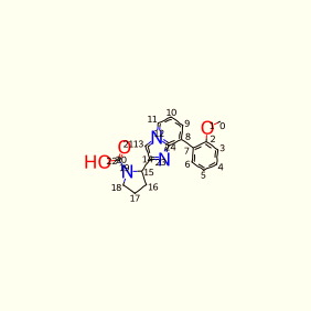 COc1ccccc1-c1cccn2cc(C3CCCN3C(=O)O)nc12